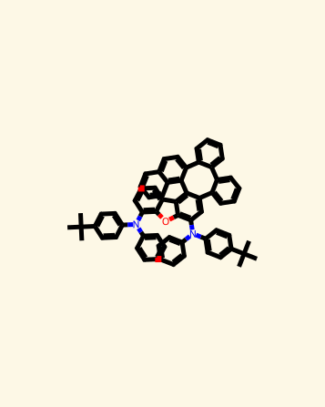 CC(C)(C)c1ccc(N(c2ccccc2)c2cccc3c2oc2c(N(c4ccccc4)c4ccc(C(C)(C)C)cc4)cc4c(c23)-c2c(ccc3ccccc23)-c2ccccc2-c2ccccc2-4)cc1